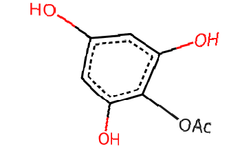 CC(=O)Oc1c(O)cc(O)cc1O